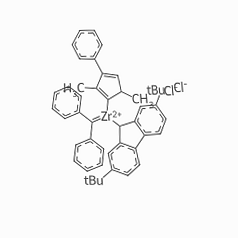 CC1=[C]([Zr+2](=[C](c2ccccc2)c2ccccc2)[CH]2c3cc(C(C)(C)C)ccc3-c3ccc(C(C)(C)C)cc32)C(C)C=C1c1ccccc1.[Cl-].[Cl-]